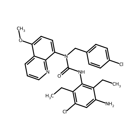 CCc1c(N)cc(Cl)c(CC)c1NC(=O)N(Cc1ccc(Cl)cc1)c1ccc(OC)c2cccnc12